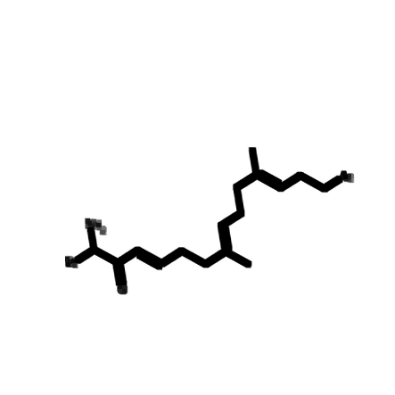 CCC(N)C(=O)C=CCCC(C)=CCCC(C)=CCCC(C)=O